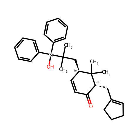 CC1(C)[C@H](CC2=CCCC2)C(=O)C=C[C@H]1CC(C)(C)[Si](O)(c1ccccc1)c1ccccc1